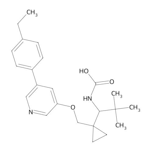 CCc1ccc(-c2cncc(OCC3(C(NC(=O)O)C(C)(C)C)CC3)c2)cc1